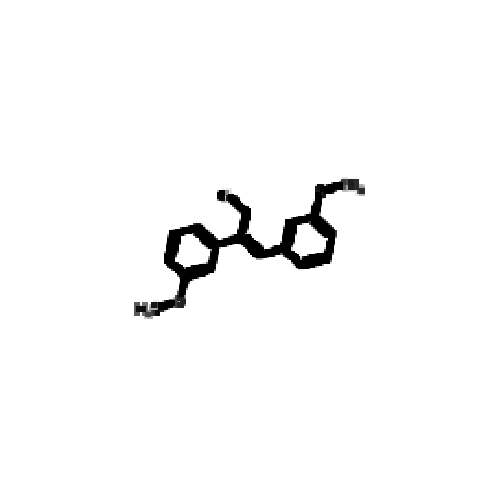 COc1cccc(C=C(CCl)c2cccc(OC)c2)c1